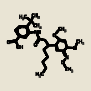 CCCCCC(CC(=O)Nc1cc(C(=O)O)ccc1C(C)(C)C)C1=CC(=NOC)C(OC)C=C1OC